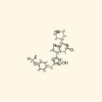 Cl.O=C1Cc2c(-c3nnc(Cc4ccc(OC(F)F)cc4)o3)cnn2C(C2CCNCC2)=N1